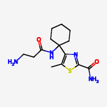 Cc1sc(C(N)=O)nc1C1(NC(=O)CCN)CCCCC1